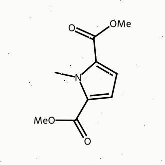 COC(=O)c1ccc(C(=O)OC)n1C